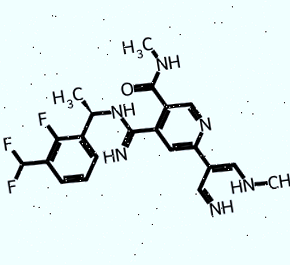 CN/C=C(\C=N)c1cc(C(=N)N[C@H](C)c2cccc(C(F)F)c2F)c(C(=O)NC)cn1